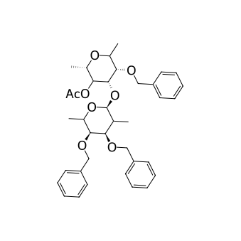 CC(=O)OC1[C@H](C)OC(C)[C@H](OCc2ccccc2)[C@@H]1O[C@@H]1OC(C)[C@H](OCc2ccccc2)[C@H](OCc2ccccc2)C1C